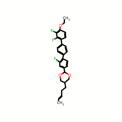 C/C=C/CCC1COC(c2ccc(-c3ccc(-c4ccc(OCC)c(F)c4F)cc3)c(F)c2)OC1